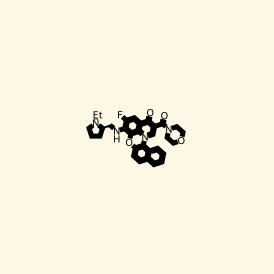 CCN1CCC[C@@H]1CNc1c(F)cc2c(=O)c(C(=O)N3CCOCC3)cn3c2c1Oc1ccc2ccccc2c1-3